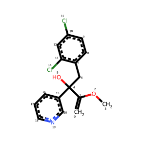 C=C(OC)C(O)(Cc1ccc(Cl)cc1Cl)c1cccnc1